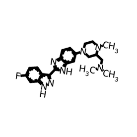 CN(C)CC1CN(c2ccc3nc(-c4n[nH]c5cc(F)ccc45)[nH]c3c2)CCN1C